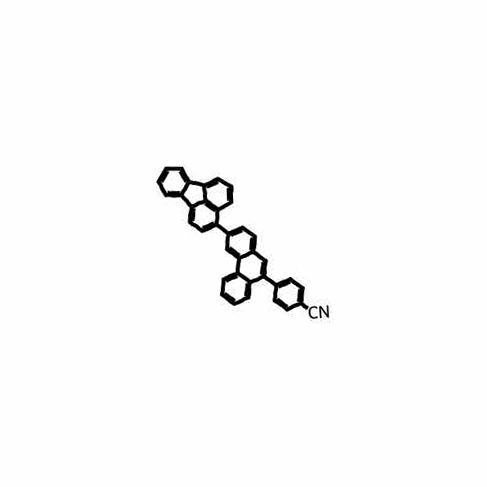 N#Cc1ccc(-c2cc3ccc(-c4ccc5c6c(cccc46)-c4ccccc4-5)cc3c3ccccc23)cc1